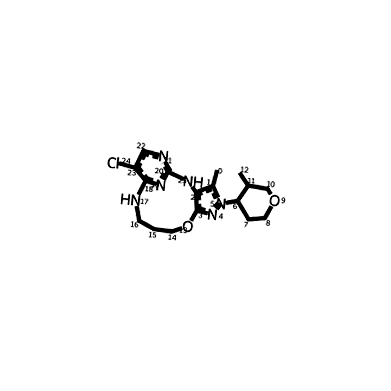 Cc1c2c(nn1C1CCOCC1C)OCCCNc1nc(ncc1Cl)N2